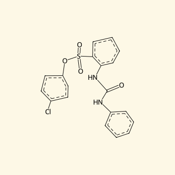 O=C(Nc1ccccc1)Nc1ccccc1S(=O)(=O)Oc1ccc(Cl)cc1